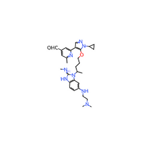 C/N=c1\[nH]c2ccc(NCCN(C)C)cc2n1C(C)CCCOc1c(-c2cc(C=O)cc(C)n2)cnn1C1CC1